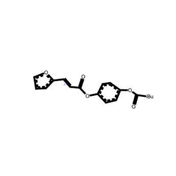 CCC(C)C(=O)Oc1ccc(OC(=O)/C=C/c2ccco2)cc1